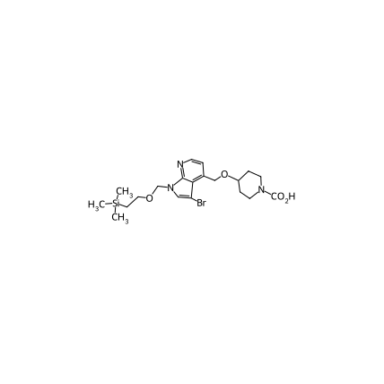 C[Si](C)(C)CCOCn1cc(Br)c2c(COC3CCN(C(=O)O)CC3)ccnc21